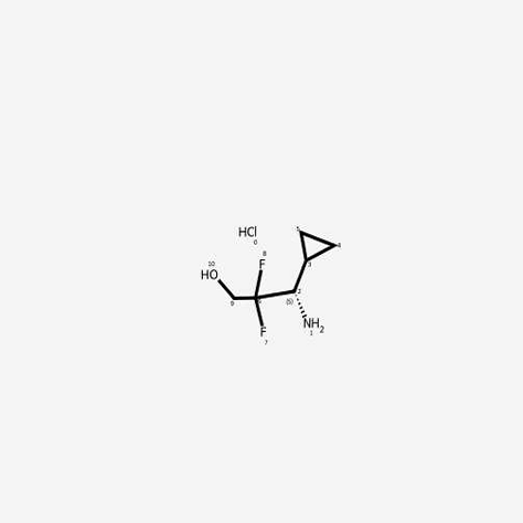 Cl.N[C@@H](C1CC1)C(F)(F)CO